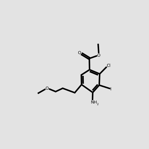 COCCCc1cc(C(=O)OC)c(Cl)c(I)c1N